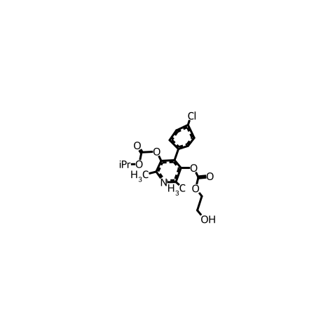 Cc1nc(C)c(OC(=O)OC(C)C)c(-c2ccc(Cl)cc2)c1OC(=O)OCCO